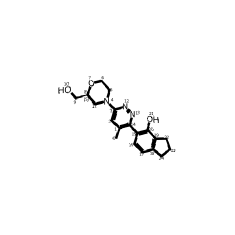 Cc1cc(N2CCO[C@H](CO)C2)nnc1-c1ccc2c(c1O)CCC2